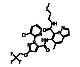 CSCCNC(=O)c1c(NC(=O)c2cc(OCC(F)(F)F)nn2-c2ncccc2Cl)c(C)cc2ccnn12